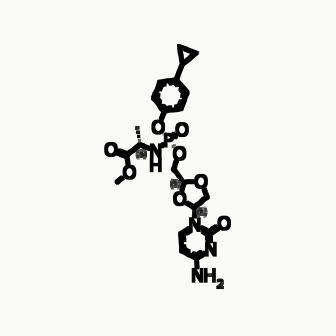 COC(=O)[C@H](C)NP(=O)(OC[C@H]1OC[C@@H](n2ccc(N)nc2=O)O1)Oc1ccc(C2CC2)cc1